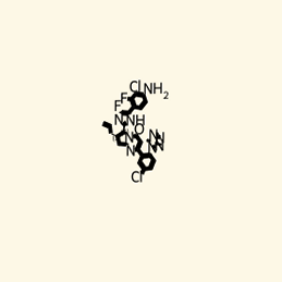 C=CC[C@H]1Cc2nc(-c3cc(Cl)ccc3-n3cnnn3)cc(=O)n2[C@@H]1c1nc(F)c(-c2ccc(N)c(Cl)c2F)[nH]1